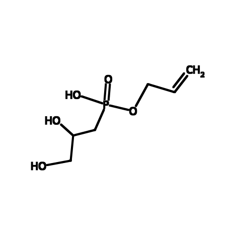 C=CCOP(=O)(O)CC(O)CO